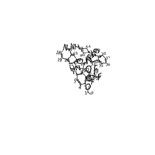 CCOc1ccc(F)c(C(Nc2ccc3c(N)nccc3c2)(OC(=O)C(F)(F)F)C(=O)N(C)Cc2ccccc2S(=O)(=O)C2CCC2)c1